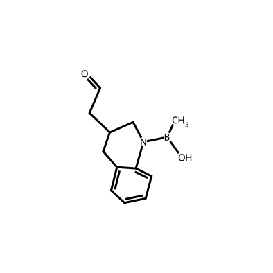 CB(O)N1CC(CC=O)Cc2ccccc21